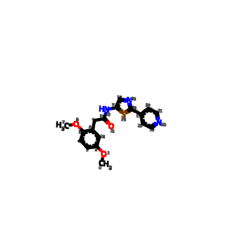 COc1ccc(OC)c(CC(=O)Nc2cnc(-c3ccncc3)s2)c1